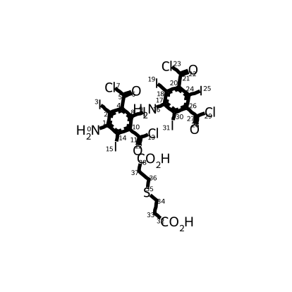 Nc1c(I)c(C(=O)Cl)c(I)c(C(=O)Cl)c1I.Nc1c(I)c(C(=O)Cl)c(I)c(C(=O)Cl)c1I.O=C(O)CCSCCC(=O)O